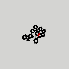 CC1(C)c2ccccc2-c2ccc(N(c3ccc4c(c3)C(c3ccccc3)(c3ccccc3)c3ccccc3-4)c3ccccc3-c3ccc4c(ccc5ccccc54)c3)cc21